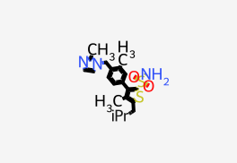 Cc1cc(-c2c(S(N)(=O)=O)sc(CC(C)C)c2C)ccc1Cn1ccnc1C